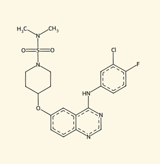 CN(C)S(=O)(=O)N1CCC(Oc2ccc3ncnc(Nc4ccc(F)c(Cl)c4)c3c2)CC1